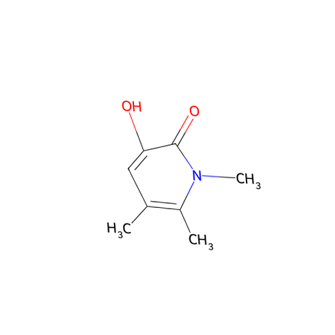 Cc1cc(O)c(=O)n(C)c1C